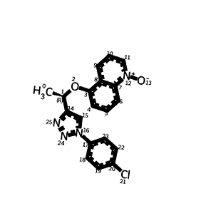 C[C@@H](Oc1cccc2c1ccc[n+]2[O-])c1cn(-c2ccc(Cl)cc2)nn1